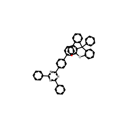 c1ccc(-c2nc(-c3ccccc3)nc(-c3ccc(-c4ccc(-c5ccccc5C5(c6ccccc6)c6ccccc6Oc6ccccc65)cc4)cc3)n2)cc1